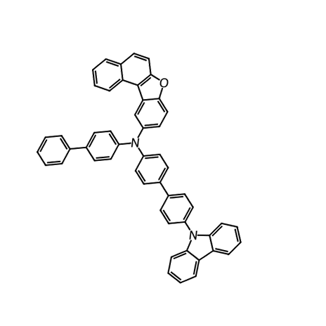 c1ccc(-c2ccc(N(c3ccc(-c4ccc(-n5c6ccccc6c6ccccc65)cc4)cc3)c3ccc4oc5ccc6ccccc6c5c4c3)cc2)cc1